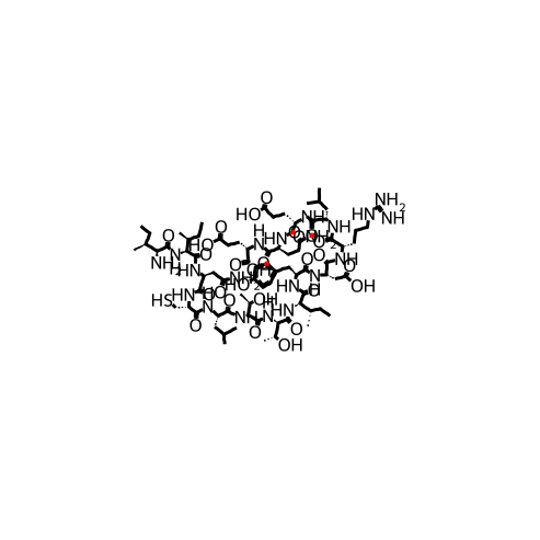 CC[C@H](C)[C@H](N)C(=O)N[C@H](C(=O)N[C@@H](CC(N)=O)C(=O)N[C@@H](CS)C(=O)N[C@@H](CC(C)C)C(=O)N[C@H](C(=O)N[C@H](C(=O)N[C@H](C(=O)N[C@@H](Cc1ccc(O)cc1)C(=O)N[C@@H](CC(=O)O)C(=O)N[C@@H](CCCNC(=N)N)C(=O)N[C@@H](CC(C)C)C(=O)N[C@@H](CCC(=O)O)C(=O)N[C@@H](CCC(N)=O)C(=O)N[C@@H](CCC(=O)O)C(=O)O)[C@@H](C)CC)[C@@H](C)O)[C@@H](C)O)[C@@H](C)CC